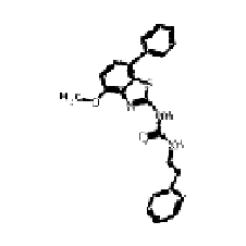 COc1ccc(-c2ccccc2)c2sc(NC(=O)NCCc3ccccc3)nc12